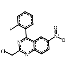 O=[N+]([O-])c1ccc2nc(CCl)nc(-c3ccccc3F)c2c1